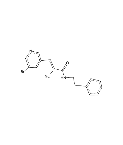 N#C/C(=C\c1cncc(Br)c1)C(=O)NCCc1ccccc1